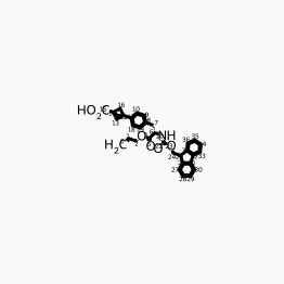 C=CCOC(=O)[C@H](Cc1ccc(C23CC(C(=O)O)(C2)C3)cc1)NC(=O)OCC1c2ccccc2-c2ccccc21